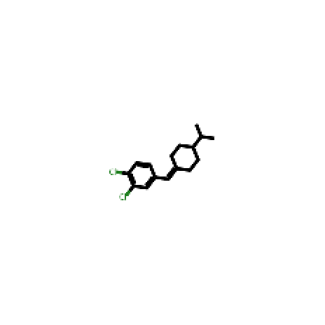 CC(C)C1CCC(=Cc2ccc(Cl)c(Cl)c2)CC1